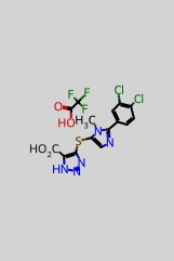 Cn1c(Sc2nn[nH]c2C(=O)O)cnc1-c1ccc(Cl)c(Cl)c1.O=C(O)C(F)(F)F